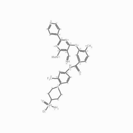 CC[SH](N)(=O)C1CCN(c2ccc(NC(=O)c3ccc(C)c(Oc4nc(-c5ccncc5)nc(NC)c4C=N)c3)cc2C(F)(F)F)CC1